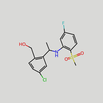 CC(Nc1cc(F)ccc1S(C)(=O)=O)c1cc(Cl)ccc1CO